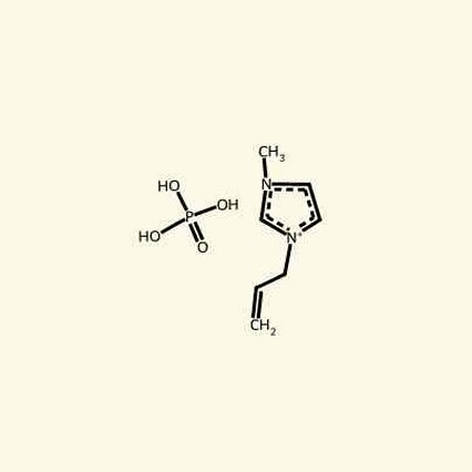 C=CC[n+]1ccn(C)c1.O=P(O)(O)O